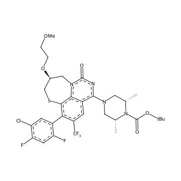 COCCO[C@@H]1CSc2c(-c3cc(Cl)c(F)cc3F)c(C(F)(F)F)cc3c(N4C[C@@H](C)N(C(=O)OC(C)(C)C)[C@@H](C)C4)nc(=O)n(c23)C1